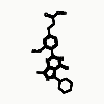 COC(=O)CCc1ccc(-c2nc3c(C)nn(C4CCCCC4)c3c(=O)[nH]2)c(OC)c1